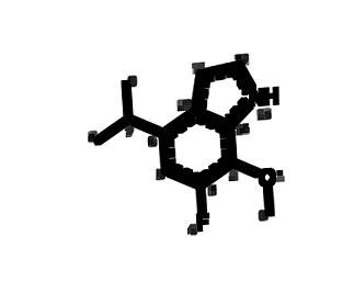 COc1c(F)cc(C(C)C)c2cc[nH]c12